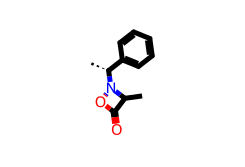 CC1C(=O)ON1[C@H](C)c1ccccc1